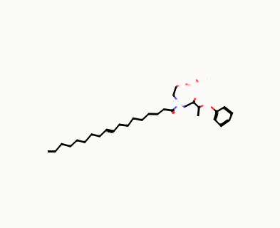 CCCCCCCCC=CCCCCCCCC(=O)N1CCOB(O)OC(C(C)Oc2ccccc2)C1